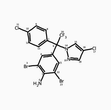 Nc1c(Br)cc(C(c2ccc(Cl)cc2)(n2cc(Cl)cn2)C(F)(F)F)cc1Br